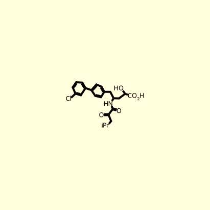 CC(C)CC(=O)C(=O)NC(Cc1ccc(-c2cccc(Cl)c2)cc1)CC(O)C(=O)O